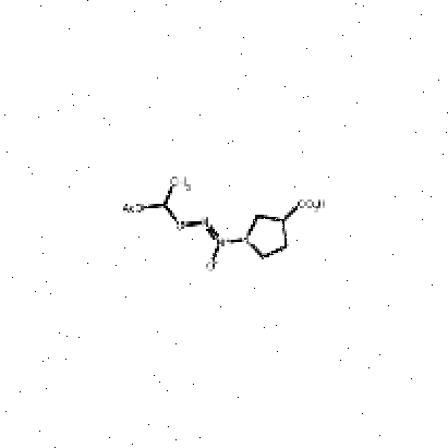 CC(=O)OC(C)ON=[N+]([O-])N1CCC(C(=O)O)C1